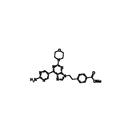 COC(=O)c1ccc(CCn2cnc3c(-c4cnc(N)nc4)nc(N4CCOCC4)nc32)cc1